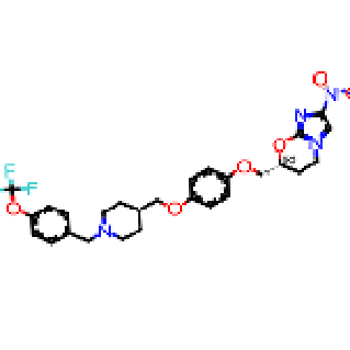 O=[N+]([O-])c1cn2c(n1)O[C@@H](COc1ccc(OCC3CCN(Cc4ccc(OC(F)(F)F)cc4)CC3)cc1)CC2